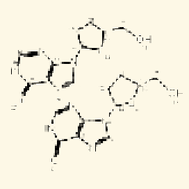 O=c1[nH]cnc2c1ncn2[C@H]1CC[C@@H](CO)O1.O=c1[nH]cnc2c1ncn2[C@H]1CC[C@@H](CO)O1